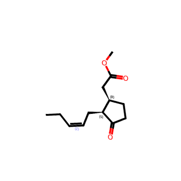 CC/C=C\C[C@@H]1C(=O)CC[C@@H]1CC(=O)OC